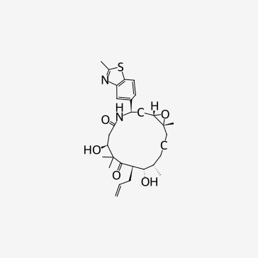 C=CC[C@H]1C(=O)C(C)(C)[C@@H](O)CC(=O)N[C@@H](c2ccc3sc(C)nc3c2)C[C@@H]2O[C@]2(C)CCC[C@H](C)[C@@H]1O